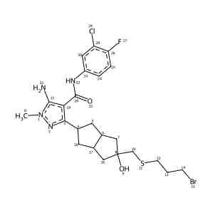 Cn1nc(C2CC3CC(O)(CSCCCBr)CC3C2)c(C(=O)Nc2ccc(F)c(Cl)c2)c1N